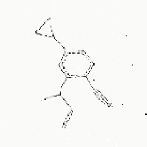 [CH2]C(C=C)c1cc(C2CC2)ccc1C#N